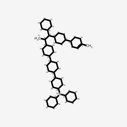 CC1=CCC(C2CCC(C(C3CCCCC3)C(C)C3CCC(C4CCC(C5CCC(N(C6CCCCC6)C6CCCCC6)CC5)CC4)CC3)CC2)CC1